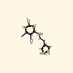 Cc1nc(Cl)nc(NCCc2cn[nH]c2)c1Cl